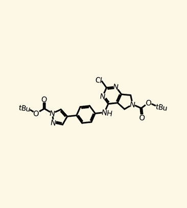 CC(C)(C)OC(=O)N1Cc2nc(Cl)nc(Nc3ccc(-c4cnn(C(=O)OC(C)(C)C)c4)cc3)c2C1